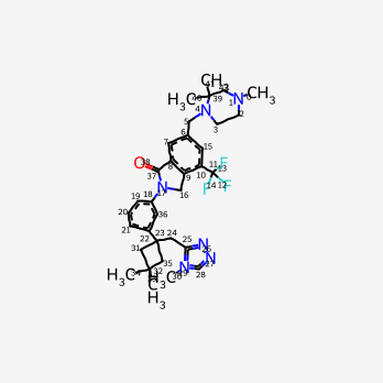 CN1CCN(Cc2cc3c(c(C(F)(F)F)c2)CN(c2cccc(C4(Cc5nncn5C)CC(C)(C)C4)c2)C3=O)C(C)(C)C1